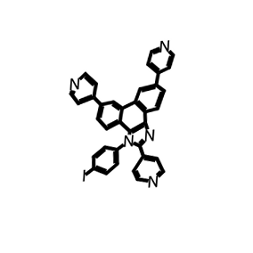 Ic1ccc(-n2c(-c3ccncc3)nc3c4ccc(-c5ccncc5)cc4c4cc(-c5ccncc5)ccc4c32)cc1